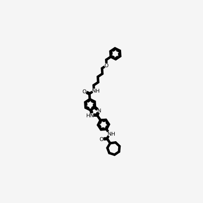 O=C(NCCCCCOCc1ccccc1)c1ccc2[nH]c(-c3ccc(NC(=O)C4CCCCCC4)cc3)nc2c1